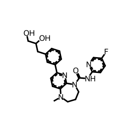 CN1CCCN(C(=O)Nc2ccc(F)cn2)c2nc(-c3cccc(CC(O)CO)c3)ccc21